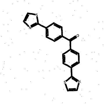 O=C(c1ccc(-c2nccs2)cc1)c1ccc(-c2nccs2)cc1